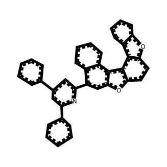 c1ccc(-c2cc(-c3ccccc3)nc(-c3cc4oc5ccc6oc7ccccc7c6c5c4c4ccccc34)c2)cc1